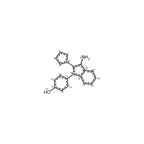 Nc1c(-n2cccc2)n(-c2ccc(O)cc2)c2ccccc12